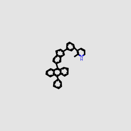 CC1=C(c2cccc(-c3ccc4ccc(-c5c6ccccc6c(-c6ccccc6)c6ccccc56)cc4c3)c2)C=CCN1